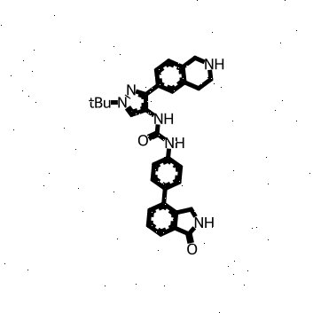 CC(C)(C)n1cc(NC(=O)Nc2ccc(-c3cccc4c3CNC4=O)cc2)c(-c2ccc3c(c2)CCNC3)n1